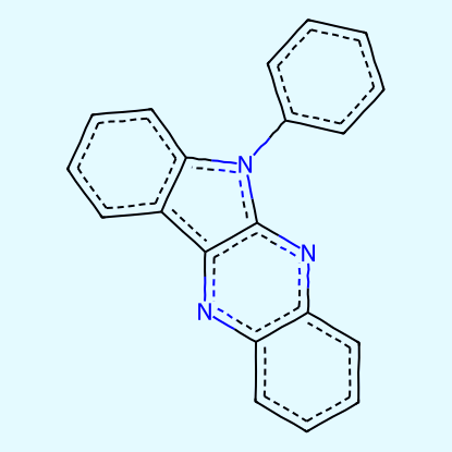 c1ccc(-n2c3ccccc3c3nc4ccccc4nc32)cc1